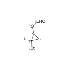 CCC1(C)CC1O[C]=O